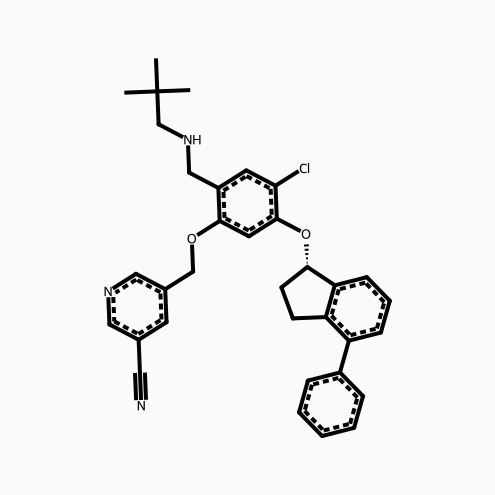 CC(C)(C)CNCc1cc(Cl)c(O[C@H]2CCc3c(-c4ccccc4)cccc32)cc1OCc1cncc(C#N)c1